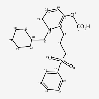 O=C(O)OC1=C(CCCS(=O)(=O)c2ccccc2)N(CC2CCCCC2)CC=C1